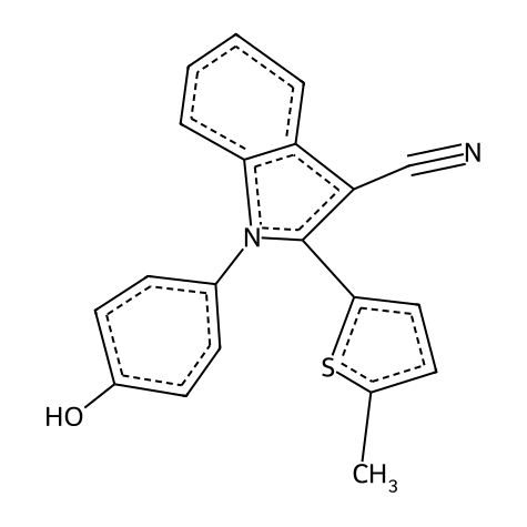 Cc1ccc(-c2c(C#N)c3ccccc3n2-c2ccc(O)cc2)s1